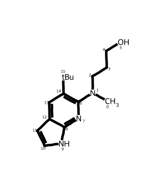 CN(CCCO)c1nc2[nH]ccc2cc1C(C)(C)C